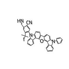 CC(C)(I)c1cc(C=N)c(C#N)cc1-n1c2ccccc2c2c3oc4c(ccc5c4c4ccccc4n5-c4ccccc4)c3ccc21